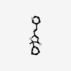 CC1(c2ccccc2)OC(/C=C/c2cccnc2)=CC1=O